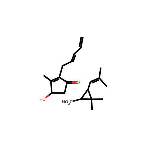 C=CC=CCC1=C(C)C(O)CC1=O.CC(C)=CC1C(C(=O)O)C1(C)C